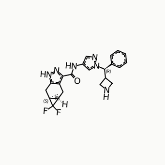 C[C@]12Cc3[nH]nc(C(=O)Nc4cnn([C@@H](c5ccccc5)C5CNC5)c4)c3C[C@H]1C2(F)F